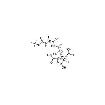 C[C@H](NC(=O)OC(C)(C)C)C(=O)N[C@@H](C)C(=O)N[C@@]1(C(=O)O)C[C@H](O)[C@H]2[C@H](C(=O)O)[C@H]21